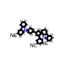 N#Cc1ccc(-n2c3ccccc3c3cccc(C#N)c32)c(-c2cccc(-c3ccc(-n4c5ccccc5c5cc(C#N)ccc54)cc3)c2)c1